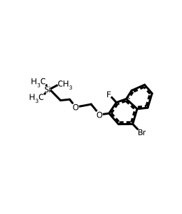 C[Si](C)(C)CCOCOc1cc(Br)c2ccccc2c1F